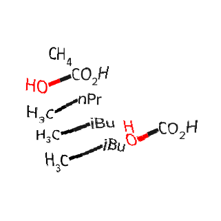 C.CCC(C)C.CCC(C)C.CCCC.O=C(O)O.O=C(O)O